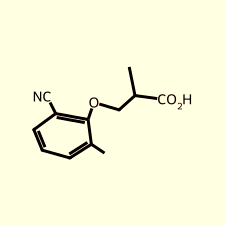 Cc1cccc(C#N)c1OCC(C)C(=O)O